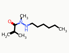 C=C(C)C(=O)N(C)NCCCCCC